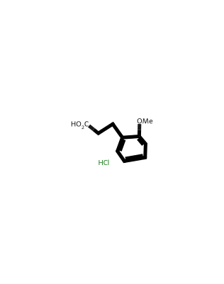 COc1ccccc1CCC(=O)O.Cl